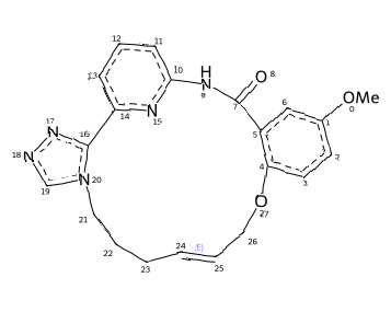 COc1ccc2c(c1)C(=O)Nc1cccc(n1)-c1nncn1CCC/C=C/CO2